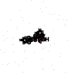 C=C[C@]1(C)C[C@@H](OC(=O)COS(=O)(=O)c2ccc(C)cc2)[C@]23CC2CC[C@]2(CCC(=O)[C@H]23)C[C@@H]1O